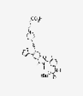 Cc1ccc(NC(=O)OC(C)(C)C)cc1C(=O)NC(C)c1ccc(C#CC2CCN(CCCC(=O)O)CC2)c(-c2cccs2)c1